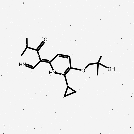 CC(C)C(=O)/C(C=N)=C1\C=CC(OCC(C)(C)O)=C(C2CC2)N1